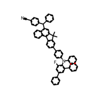 CC1(C)c2cc(-c3ccc(N(c4ccccc4)c4c(F)cc(-c5ccccc5)cc4-c4ccccc4)cc3)ccc2-c2c1cc(C(c1ccccc1)c1ccc(C#N)cc1)c1ccccc21